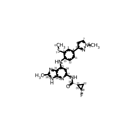 CSc1cc(-c2ccn(C)n2)ccc1Nc1cc(NC(=O)[C@@H]2C[C@@H]2F)nc2[nH]c(C)nc12